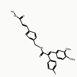 COc1ccc(/C=C(/C(=O)NCc2ccc(/C=C/C(=O)NO)cc2)c2ccc(F)cc2)cc1OC